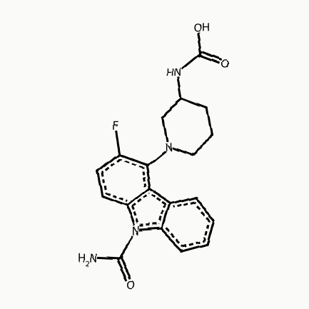 NC(=O)n1c2ccccc2c2c(N3CCCC(NC(=O)O)C3)c(F)ccc21